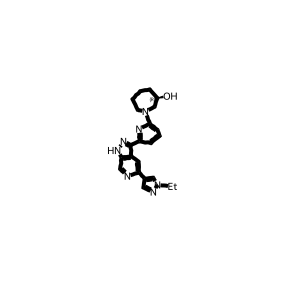 CCn1cc(-c2cc3c(-c4cccc(N5CCCC[C@@H](O)C5)n4)n[nH]c3cn2)cn1